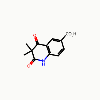 CC1(C)C(=O)Nc2ccc(C(=O)O)cc2C1=O